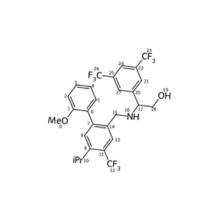 COc1ccccc1-c1cc(C(C)C)c(C(F)(F)F)cc1CNC(CO)c1cc(C(F)(F)F)cc(C(F)(F)F)c1